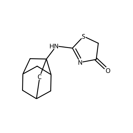 O=C1CSC(NC23CC4CC(CC2C4)C3)=N1